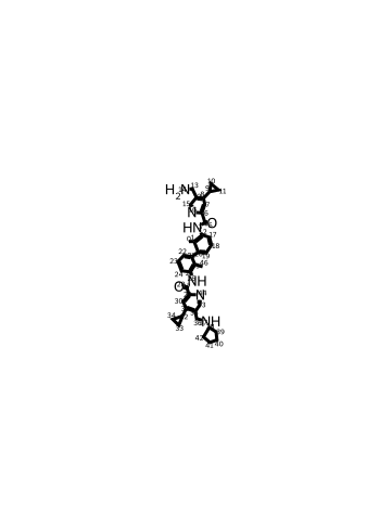 Cc1c(NC(=O)c2cc(C3CC3)c(CN)cn2)cccc1-c1cccc(NC(=O)c2cc(C3CC3)c(CNC3CCCC3)cn2)c1C